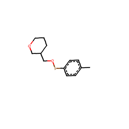 Cc1ccc(SOCC2CCCOC2)cc1